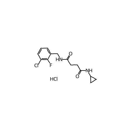 Cl.O=C(CCC(=O)NC1CC1)NCc1cccc(Cl)c1F